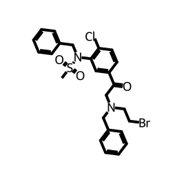 CS(=O)(=O)N(Cc1ccccc1)c1cc(C(=O)CN(CCBr)Cc2ccccc2)ccc1Cl